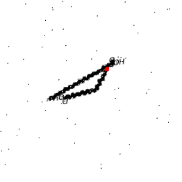 CCCCCCCC/C=C\CCCCCCCCCCCC(=O)O.CCCCCCCCCCCCCCCCCCCCCCCCCCCC(=O)O